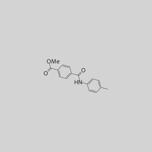 COC(=O)c1ccc(C(=O)Nc2ccc(C)cc2)cc1